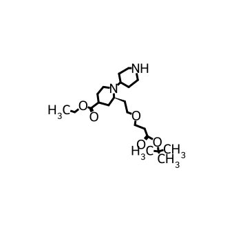 CCOC(=O)C1CCN(C2CCNCC2)[C@@H](CCOCCC(=O)OC(C)(C)C)C1